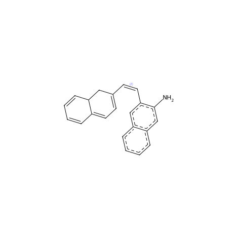 Nc1cc2ccccc2cc1/C=C\C1=CC=C2C=CC=CC2C1